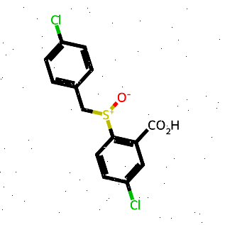 O=C(O)c1cc(Cl)ccc1[S+]([O-])Cc1ccc(Cl)cc1